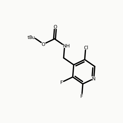 CC(C)(C)OC(=O)NCc1c(Cl)cnc(F)c1F